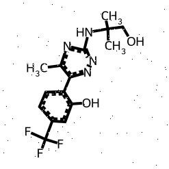 Cc1nc(NC(C)(C)CO)nnc1-c1ccc(C(F)(F)F)cc1O